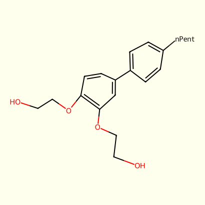 CCCCCc1ccc(-c2ccc(OCCO)c(OCCO)c2)cc1